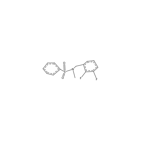 CN(Cc1cccc(F)c1F)S(=O)(=O)c1ccccc1